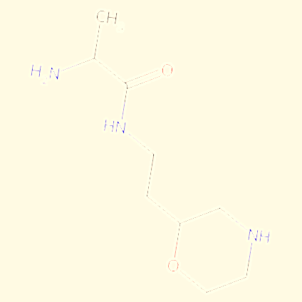 CC(N)C(=O)NCCC1CNCCO1